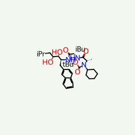 CC[C@H](C)[C@H](NC(=O)[C@H](C)N(C(=O)OC(C)(C)C)C1CCCCC1)C(=O)N[C@@H](Cc1ccc2ccccc2c1)[C@@H](O)[C@@H](O)CC(C)C